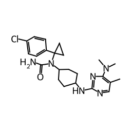 Cc1cnc(NC2CCC(N(C(N)=O)C3(c4ccc(Cl)cc4)CC3)CC2)nc1N(C)C